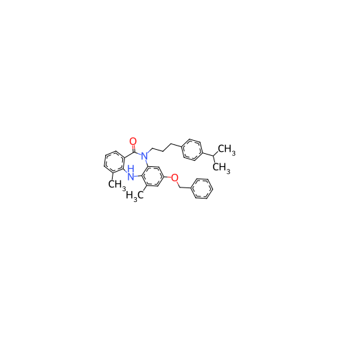 Cc1cccc2c1Nc1c(C)cc(OCc3ccccc3)cc1N(CCCc1ccc(C(C)C)cc1)C2=O